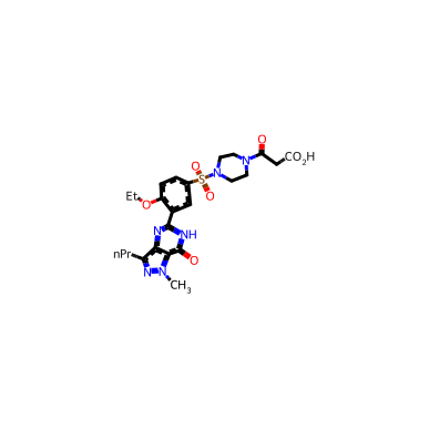 CCCc1nn(C)c2c(=O)[nH]c(-c3cc(S(=O)(=O)N4CCN(C(=O)CC(=O)O)CC4)ccc3OCC)nc12